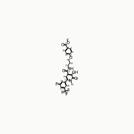 COC(=O)c1ccc(OCCCNC(=O)c2cc(-c3cc(F)cc(C(F)(F)F)c3)n(C)c(=O)c2O)cc1